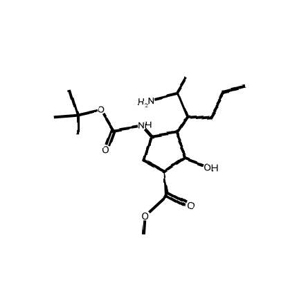 CCCC(C(C)N)C1C(NC(=O)OC(C)(C)C)C[C@H](C(=O)OC)C1O